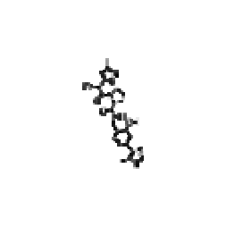 Cc1cc(C(C(=O)N2CCC[C@H]2C(=O)NCc2ccc(-c3scnc3C)cc2OI)C(C)C)on1